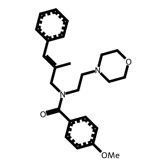 COc1ccc(C(=O)N(CCN2CCOCC2)C/C(C)=C/c2ccccc2)cc1